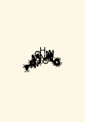 CN1C(=O)C(NC(=O)c2nncn2Cc2ccccc2)CCn2nc(C3CC3)cc21